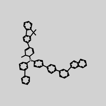 CC1C=C(c2ccc3c(c2)C(C)(C)c2ccccc2-3)C=CC1N(c1ccc(-c2ccc(-c3cccc(-c4ccc5ccccc5c4)c3)cc2)cc1)c1cccc(-c2ccccc2)c1